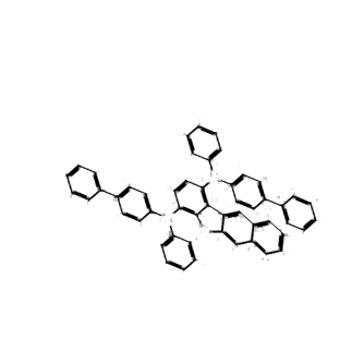 c1ccc(-c2ccc(N(c3ccccc3)c3ccc(N(c4ccccc4)c4ccc(-c5ccccc5)cc4)c4c3oc3cc5ccccc5cc34)cc2)cc1